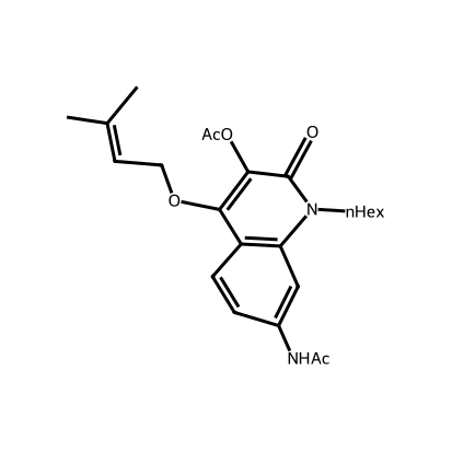 CCCCCCn1c(=O)c(OC(C)=O)c(OCC=C(C)C)c2ccc(NC(C)=O)cc21